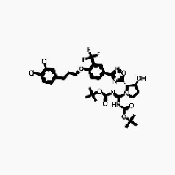 CC(C)(C)OC(=O)/N=C(\NC(=O)OC(C)(C)C)N1CC[C@H](O)[C@H]1c1nc(-c2ccc(OCCCc3ccc(Cl)c(Cl)c3)c(C(F)(F)F)c2)no1